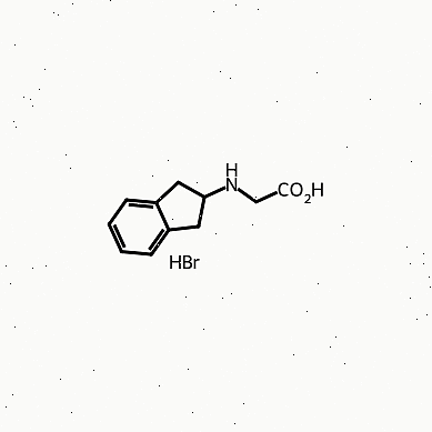 Br.O=C(O)CNC1Cc2ccccc2C1